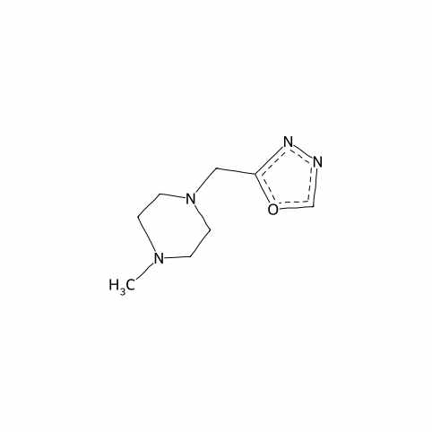 CN1CCN(Cc2nnco2)CC1